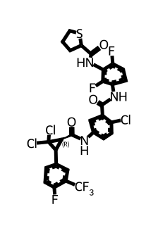 O=C(Nc1ccc(F)c(NC(=O)C2CCCS2)c1F)c1cc(NC(=O)[C@H]2C(c3ccc(F)c(C(F)(F)F)c3)C2(Cl)Cl)ccc1Cl